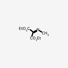 CCOC(=O)C(=NC)C(=O)OCC